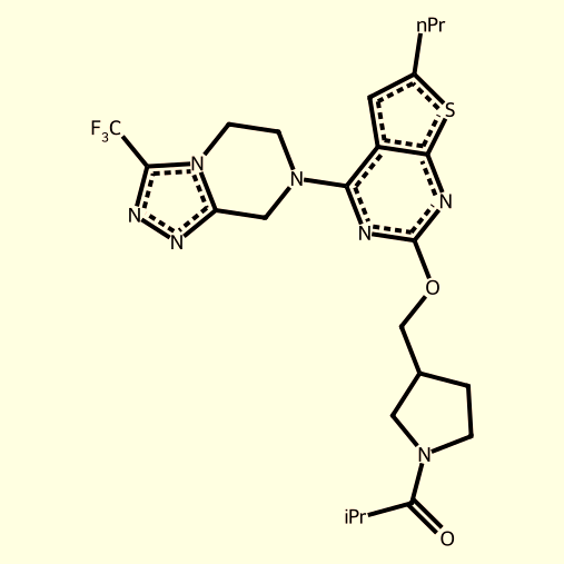 CCCc1cc2c(N3CCn4c(nnc4C(F)(F)F)C3)nc(OCC3CCN(C(=O)C(C)C)C3)nc2s1